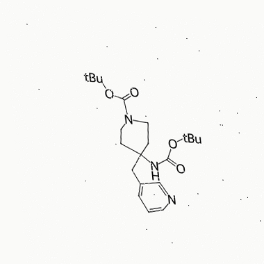 CC(C)(C)OC(=O)NC1(Cc2cccnc2)CCN(C(=O)OC(C)(C)C)CC1